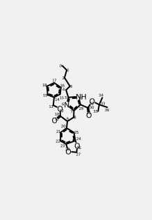 CCCCCc1nc(CC(C(=O)OCc2ccccc2)c2ccc3c(c2)OCO3)c(C(=O)OC(C)(C)C)[nH]1